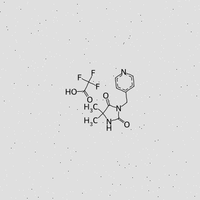 CC1(C)NC(=O)N(Cc2ccncc2)C1=O.O=C(O)C(F)(F)F